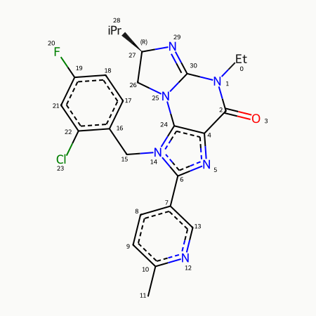 CCN1C(=O)c2nc(-c3ccc(C)nc3)n(Cc3ccc(F)cc3Cl)c2N2C[C@@H](C(C)C)N=C12